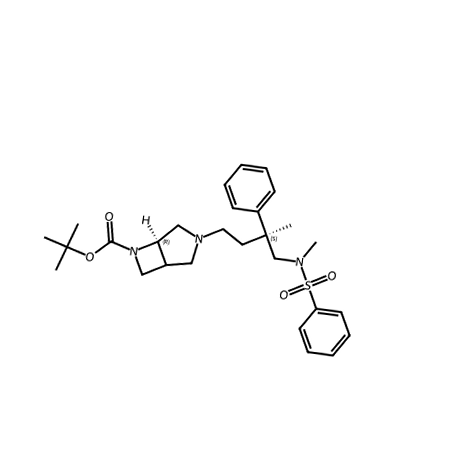 CN(C[C@@](C)(CCN1CC2CN(C(=O)OC(C)(C)C)[C@H]2C1)c1ccccc1)S(=O)(=O)c1ccccc1